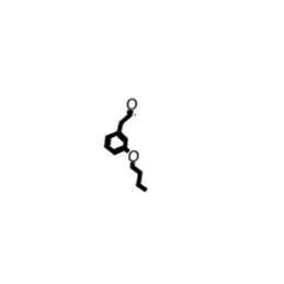 CCCCOc1cccc(C[C]=O)c1